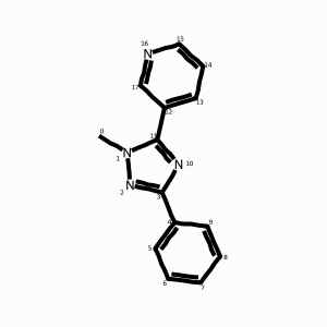 Cn1nc(-c2ccccc2)nc1-c1cccnc1